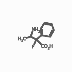 CC(N)C(F)(C(=O)O)c1ccccc1